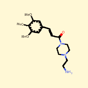 COc1cc(/C=C/C(=O)N2CCN(CCN)CC2)cc(OC)c1OC